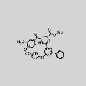 CCOC(=O)ON1CCN(C(=O)[C@H](CCC(=O)OC(C)(C)C)NC(=O)c2cc(OC3CCCC3)nc(-c3ccccc3)n2)CC1C